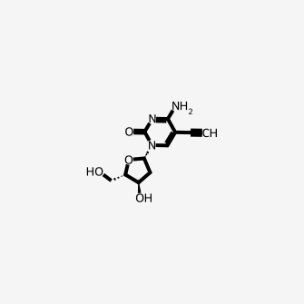 C#Cc1cn([C@@H]2C[C@@H](O)[C@H](CO)O2)c(=O)nc1N